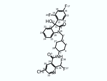 O=C(NC1CCC(CN2C(=O)C(O)(c3ccc(F)cc3F)c3ccccc32)CC1)c1cc(Cl)cnc1C(F)F